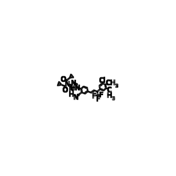 Cc1cc(C(/C=C/c2ccc(N/C=N\C(=N)N(C(=O)C3CC3)C(=O)C3CC3)c(C#N)c2)C(F)(F)F)cc(Cl)c1C